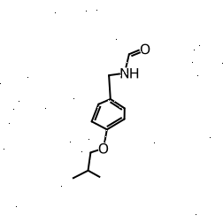 CC(C)COc1ccc(CNC=O)cc1